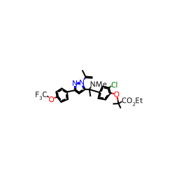 C=C(C)n1nc(-c2ccc(OC(F)(F)F)cc2)cc1C(C)(NC)c1ccc(OC(C)(C)C(=O)OCC)c(Cl)c1